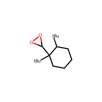 CC(C)(C)C1CCCCC1(C1OO1)C(C)(C)C